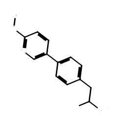 CC(=O)NC(C)Cc1ccc(-c2ccc(OC(C)C)nc2)cc1